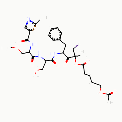 COCC(NC(=O)c1cnc(C)s1)C(=O)NC(COC)C(=O)NC(Cc1ccccc1)C(=O)C(C)(CI)OC(=O)CCCCOC(C)=O